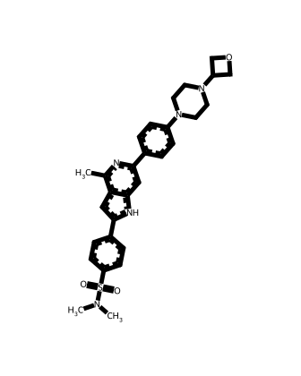 Cc1nc(-c2ccc(N3CCN(C4COC4)CC3)cc2)cc2[nH]c(-c3ccc(S(=O)(=O)N(C)C)cc3)cc12